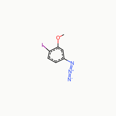 COc1cc(N=[N+]=[N-])ccc1I